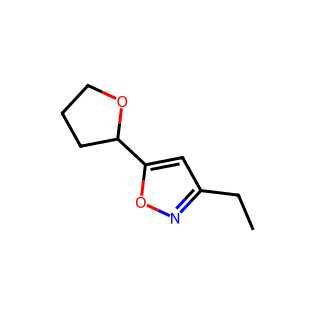 CCc1cc(C2CCCO2)on1